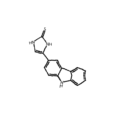 S=c1[nH]cc(-c2ccc3[nH]c4ccccc4c3c2)[nH]1